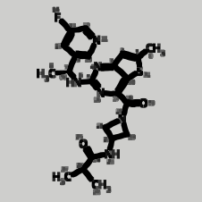 Cc1cc2nc(N[C@@H](C)c3cncc(F)c3)nc(C(=O)N3CC(NC(=O)C(C)C)C3)c2s1